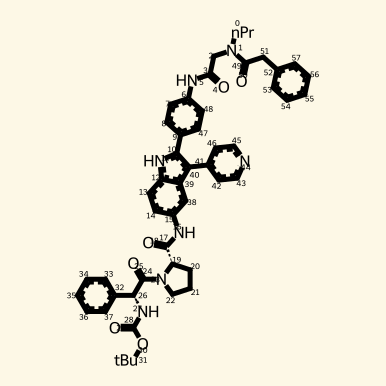 CCCN(CC(=O)Nc1ccc(-c2[nH]c3ccc(NC(=O)[C@@H]4CCCN4C(=O)[C@H](NC(=O)OC(C)(C)C)c4ccccc4)cc3c2-c2ccncc2)cc1)C(=O)Cc1ccccc1